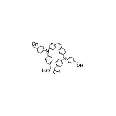 OCc1ccc(N(c2ccc(/C=C\c3ccc(N(c4ccc(CO)cc4)c4ccc(CO)cc4)cc3)cc2)c2ccc(CO)cc2)cc1